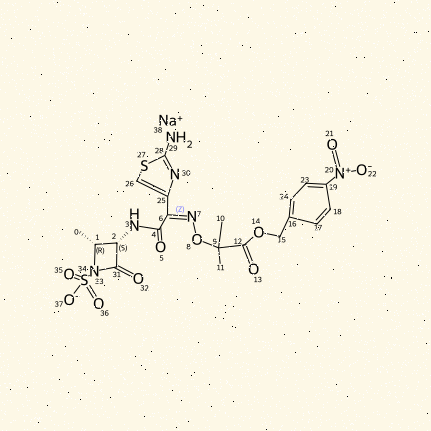 C[C@@H]1[C@H](NC(=O)/C(=N\OC(C)(C)C(=O)OCc2ccc([N+](=O)[O-])cc2)c2csc(N)n2)C(=O)N1S(=O)(=O)[O-].[Na+]